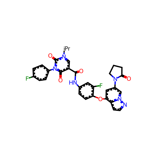 CC(C)n1cc(C(=O)Nc2ccc(Oc3cc(N4CCCC4=O)cn4nccc34)c(F)c2)c(=O)n(-c2ccc(F)cc2)c1=O